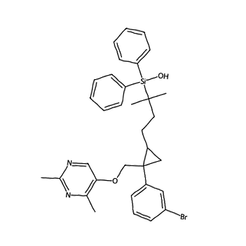 Cc1ncc(OCC2(c3cccc(Br)c3)CC2CCC(C)(C)[Si](O)(c2ccccc2)c2ccccc2)c(C)n1